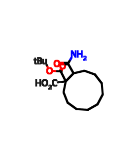 CC(C)(C)OC(=O)C1(C(=O)O)CCCCCCCCCC1C(N)=O